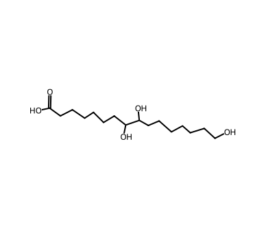 O=C(O)CCCCCCC(O)C(O)CCCCCCCO